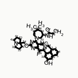 C#Cc1cccc2cc(O)cc(-c3ncc4c(N5CCC(C)(C)C[C@@H](NC(=O)C=C)C5)nc(OCC56CCCN5CCC6)nc4c3F)c12